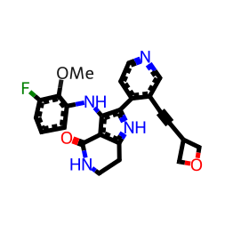 COc1c(F)cccc1Nc1c(-c2ccncc2C#CC2COC2)[nH]c2c1C(=O)NCC2